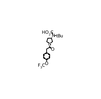 CC(C)(C)N(C(=O)O)[C@H]1CCN(C(=O)Cc2ccc(OC(F)(F)F)cc2)C1